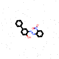 O=[N+]([O-])c1ccccc1/N=N/c1cc(-c2ccccc2)ccc1O